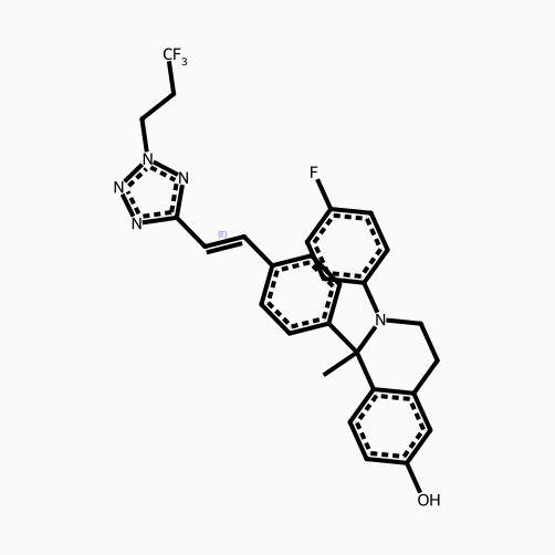 CC1(c2ccc(/C=C/c3nnn(CCC(F)(F)F)n3)cc2)c2ccc(O)cc2CCN1c1ccc(F)cc1